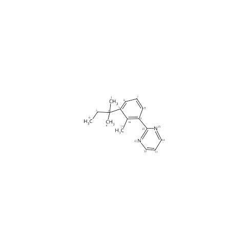 CCC(C)(C)c1cccc(-c2ncccn2)c1C